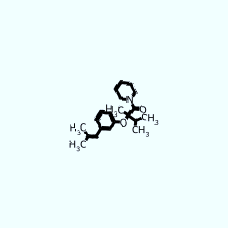 CC(C)Cc1cccc(OC(C)(C(=O)N2CCCCC2)C(C)C)c1